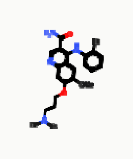 CCc1ccccc1Nc1c(C(N)=O)cnc2cc(OCCCN(CC)CC)c(OC)cc12